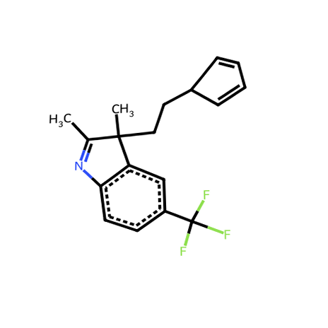 CC1=Nc2ccc(C(F)(F)F)cc2C1(C)CCC1C=CC=C1